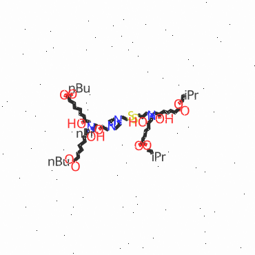 CCCCOC(=O)CCCCCCC(O)CN(CC(O)CCCCCCC(=O)OCCCC)C(C)(CCC)OCCN1CCN(CCSSCCCN(CC(O)CCCCC(=O)OCCC(C)C)CC(O)CCCCC(=O)OCCC(C)C)CC1